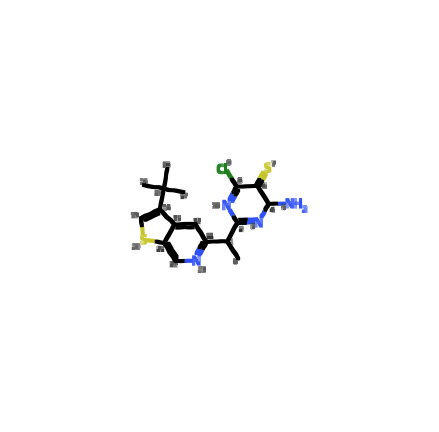 CC(C1=NC(N)C(=S)C(Cl)=N1)c1cc2c(C(C)(C)C)csc2cn1